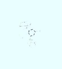 CC1(c2cc(O)cc(C34CC5CC(CC(C5)C3)C4)c2S(=O)(=O)O)CC2CCC(C2)C1